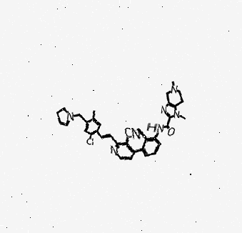 Cc1cc(/C=C/c2nccc(-c3cccc(NC(=O)c4nc5c(n4C)CCN(C)C5)c3C)c2C#N)c(Cl)cc1CN1CCCC1